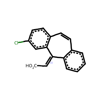 O=C(O)/C=C1/c2ccccc2C=Cc2ccc(Cl)cc21